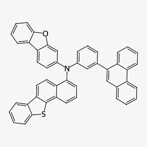 c1cc(-c2cc3ccccc3c3ccccc23)cc(N(c2ccc3c(c2)oc2ccccc23)c2cccc3c2ccc2c4ccccc4sc32)c1